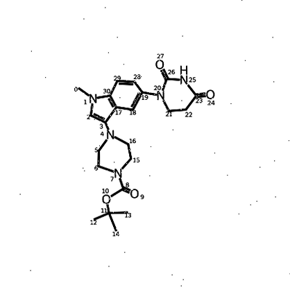 Cn1cc(N2CCN(C(=O)OC(C)(C)C)CC2)c2cc(N3CCC(=O)NC3=O)ccc21